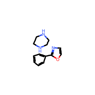 C1CNCCN1.c1ccc(-c2ncco2)cc1